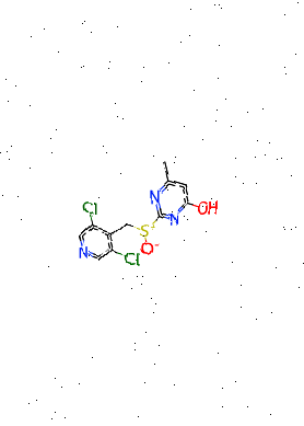 Cc1cc(O)nc([S+]([O-])Cc2c(Cl)cncc2Cl)n1